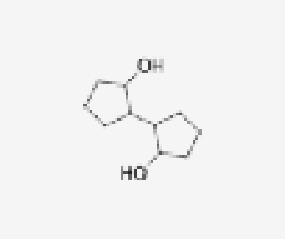 OC1CCCC1C1CCCC1O